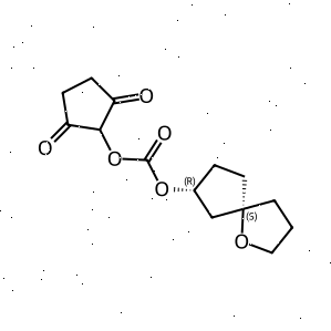 O=C(OC1C(=O)CCC1=O)O[C@@H]1CC[C@@]2(CCCO2)C1